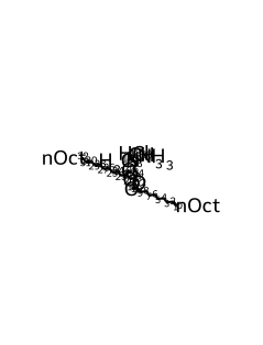 CCCCCCCCC=CCCCCCCCC(=O)OC(CCCN(C)C)OC(=O)CCCCCCCC=CCCCCCCCC.Cl.N